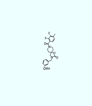 COc1cccc(CN2CC3(CCN(C(=O)c4ccc(C)c(F)c4F)CC3)OC2=O)c1